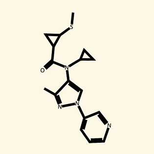 CSC1CC1C(=O)N(c1cn(-c2cccnc2)nc1C)C1CC1